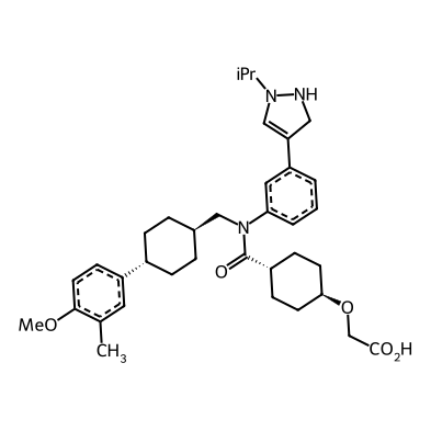 COc1ccc([C@H]2CC[C@H](CN(c3cccc(C4=CN(C(C)C)NC4)c3)C(=O)[C@H]3CC[C@H](OCC(=O)O)CC3)CC2)cc1C